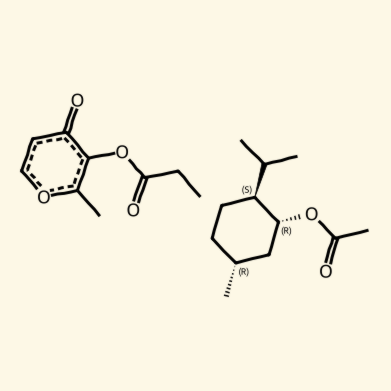 CC(=O)O[C@@H]1C[C@H](C)CC[C@H]1C(C)C.CCC(=O)Oc1c(C)occc1=O